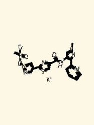 Cn1cc(NC(=O)c2csc(-c3cnn(OP(C)(=O)[O-])c3)n2)c(-c2ccccn2)n1.[K+]